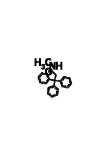 CNC(=O)CC(c1ccccc1)(c1ccccc1)c1ccccc1